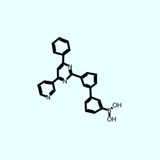 OB(O)c1cccc(-c2cccc(-c3nc(-c4ccccc4)cc(-c4cccnc4)n3)c2)c1